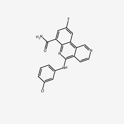 NC(=O)c1cc(F)cc2c1nc(Nc1cccc(Cl)c1)c1ccncc12